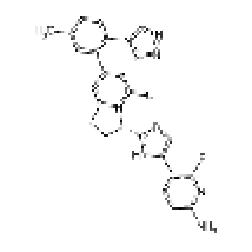 Cc1ccc(-n2cnnn2)c(-c2cc3n(c(=O)c2)[C@H](c2ncc(-c4ccc(N)nc4F)[nH]2)CC3)c1